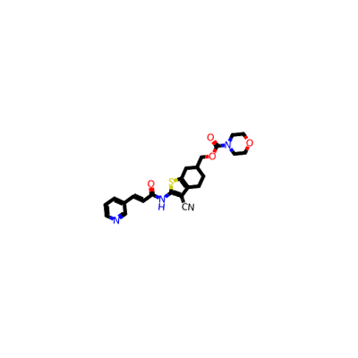 N#Cc1c(NC(=O)C=Cc2cccnc2)sc2c1CCC(COC(=O)N1CCOCC1)C2